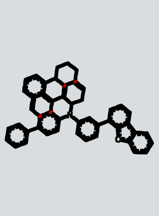 C1=CCC(N(c2ccc(-c3ccccc3)cc2)c2cccc(-c3cccc4c3oc3ccccc34)c2)C(C2=c3c(C4CCCCC4)cccc3=CCC2)=C1